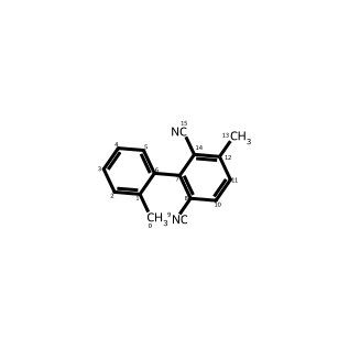 Cc1ccccc1-c1c(C#N)ccc(C)c1C#N